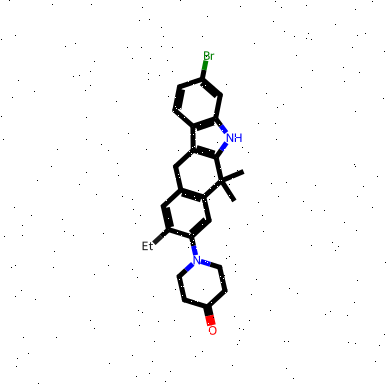 CCc1cc2c(cc1N1CCC(=O)CC1)C(C)(C)c1[nH]c3cc(Br)ccc3c1C2